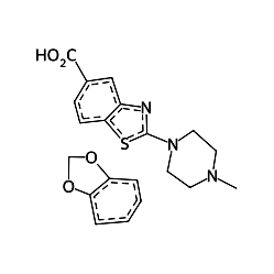 CN1CCN(c2nc3cc(C(=O)O)ccc3s2)CC1.c1ccc2c(c1)OCO2